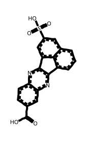 O=C(O)c1ccc2nc3c(nc2c1)-c1cccc2cc(S(=O)(=O)O)cc-3c12